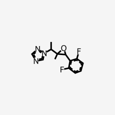 CC(n1cncn1)C1(C)OC1c1c(F)cccc1F